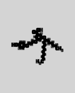 CCCCCCCCCC(CCCCCC)Oc1cc(OCCCOc2ccc(O)cc2)cc(C(=O)O)c1